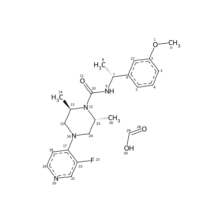 COc1cccc([C@@H](C)NC(=O)N2[C@H](C)CN(c3ccncc3F)C[C@H]2C)c1.O=CO